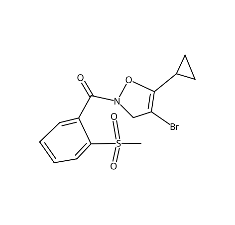 CS(=O)(=O)c1ccccc1C(=O)N1CC(Br)=C(C2CC2)O1